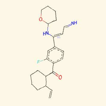 C=CC1CCCCC1C(=O)c1ccc(/C(=C/C=N)NC2CCCCO2)cc1F